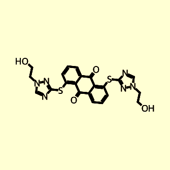 O=C1c2cccc(Sc3ncn(CCO)n3)c2C(=O)c2cccc(Sc3ncn(CCO)n3)c21